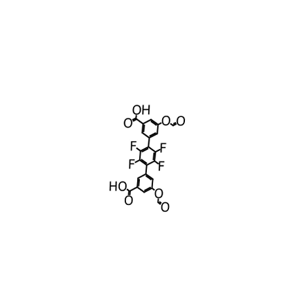 O=COc1cc(C(=O)O)cc(-c2c(F)c(F)c(-c3cc(OC=O)cc(C(=O)O)c3)c(F)c2F)c1